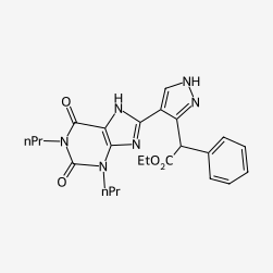 CCCn1c(=O)c2[nH]c(-c3c[nH]nc3C(C(=O)OCC)c3ccccc3)nc2n(CCC)c1=O